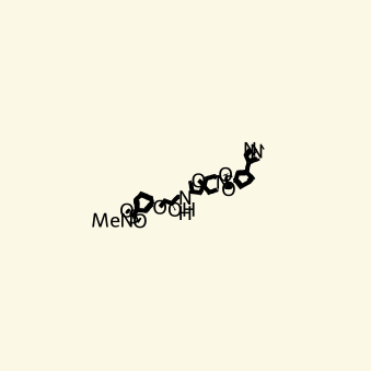 CNS(=O)(=O)c1cccc(OC[C@@H](O)CN[C@H]2COC3(CCN(S(=O)(=O)c4cccc(-c5cnn(C)c5)c4)CC3)C2)c1